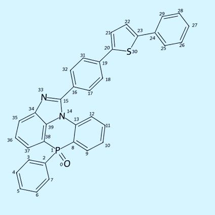 O=P1(c2ccccc2)c2ccccc2-n2c(-c3ccc(-c4ccc(-c5ccccc5)s4)cc3)nc3cccc1c32